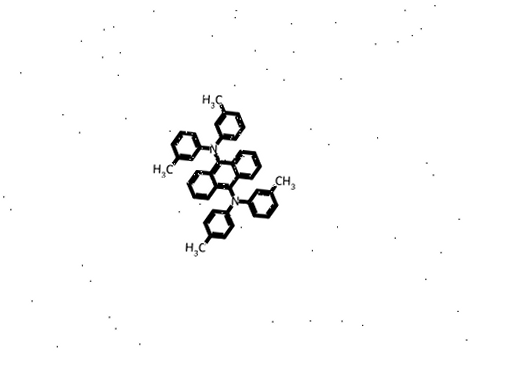 Cc1ccc(N(c2cccc(C)c2)c2c3ccccc3c(N(c3cccc(C)c3)c3cccc(C)c3)c3ccccc23)cc1